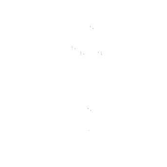 C=C(C#N)/N=C\C(=C/N=N)c1ccc(N2c3ccccc3C(C)(C)c3ccccc32)cc1